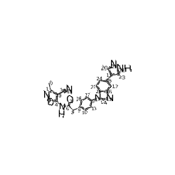 Cc1noc(NC(=O)Cc2ccc(-n3cnc4cc(-c5cn[nH]c5)ccc43)cc2)c1C#N